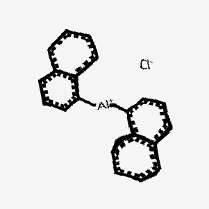 [Cl-].c1ccc2[c]([Al+][c]3cccc4ccccc34)cccc2c1